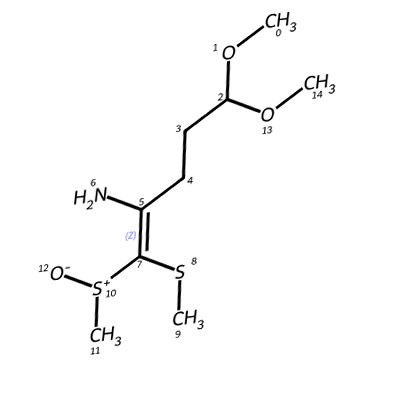 COC(CC/C(N)=C(\SC)[S+](C)[O-])OC